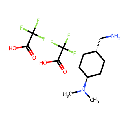 CN(C)[C@H]1CC[C@H](CN)CC1.O=C(O)C(F)(F)F.O=C(O)C(F)(F)F